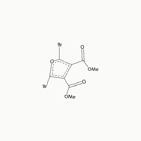 COC(=O)c1c(Br)oc(Br)c1C(=O)OC